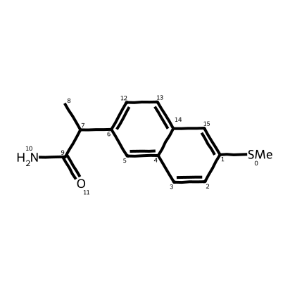 CSc1ccc2cc(C(C)C(N)=O)ccc2c1